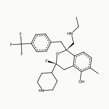 CCNC[C@]1(Cc2ccc(C(F)(F)F)cc2)O[C@@](F)(C2CCNCC2)Cc2c1ccc(C)c2O